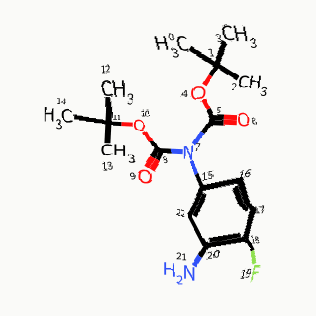 CC(C)(C)OC(=O)N(C(=O)OC(C)(C)C)c1ccc(F)c(N)c1